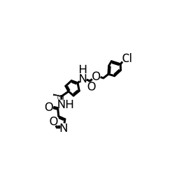 C[C@H](NC(=O)c1cnco1)c1ccc(NC(=O)OCc2ccc(Cl)cc2)cc1